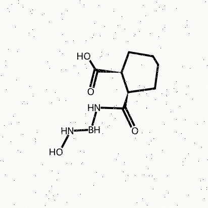 O=C(O)[C@H]1CCCC[C@H]1C(=O)NBNO